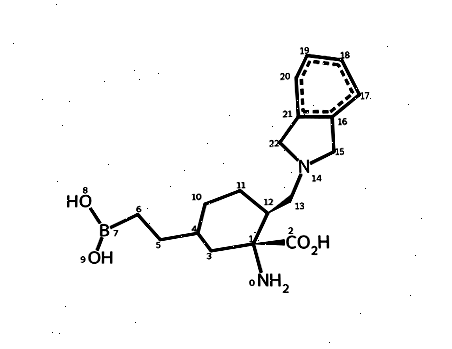 N[C@]1(C(=O)O)CC(CCB(O)O)CC[C@H]1CN1Cc2ccccc2C1